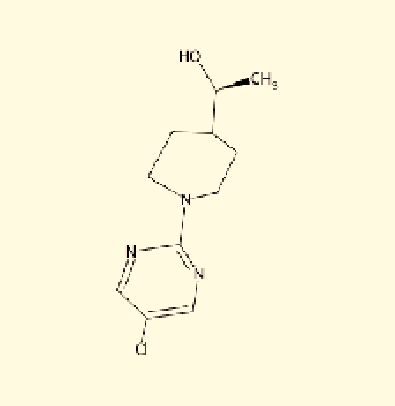 C[C@H](O)C1CCN(c2ncc(Cl)cn2)CC1